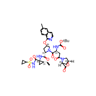 C=C[C@@H]1C[C@]1(NC(=O)[C@@H]1C[C@@H](Oc2nccc3cc(C)ccc23)CN1C(=O)[C@H](CC(=O)N1C[C@H]2C[C@@H]1C(=O)O2)NC(=O)OC(C)(C)C)C(=O)NS(=O)(=O)C1CC1